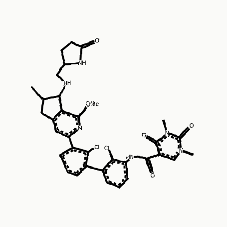 COc1nc(-c2cccc(-c3cccc(NC(=O)c4cn(C)c(=O)n(C)c4=O)c3Cl)c2Cl)cc2c1C(NCC1CCC(=O)N1)C(C)C2